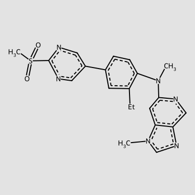 CCc1cc(-c2cnc(S(C)(=O)=O)nc2)ccc1N(C)c1cc2c(cn1)ncn2C